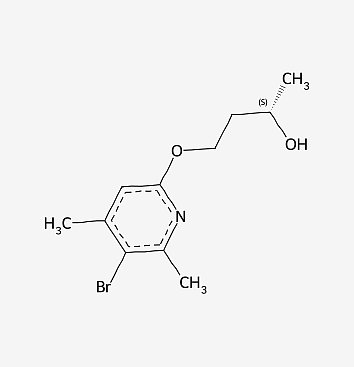 Cc1cc(OCC[C@H](C)O)nc(C)c1Br